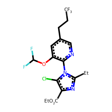 CCOC(=O)c1nc(CC)n(-c2ncc(CCC(F)(F)F)cc2OC(F)F)c1Cl